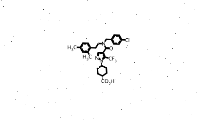 Cc1ccc(CCN(Cc2ccc(Cl)cc2)C(=O)c2cnn([C@H]3CC[C@H](C(=O)O)CC3)c2C(F)(F)F)c(C)c1